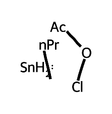 CC(=O)OCl.CCCC.[SnH2]